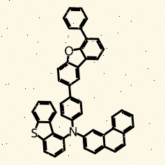 c1ccc(-c2cccc3c2oc2ccc(-c4ccc(N(c5ccc6ccc7ccccc7c6c5)c5cccc6sc7ccccc7c56)cc4)cc23)cc1